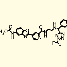 CC(=O)Nc1ccc2oc(-c3ccnc(C(=O)NCCN[C@H](c4ccccc4)c4nnn(C(F)F)n4)c3)nc2c1